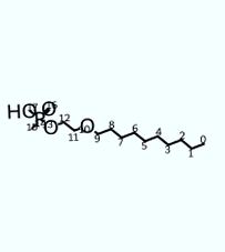 CCCCCCCCCCOCCOP(C)(=O)O